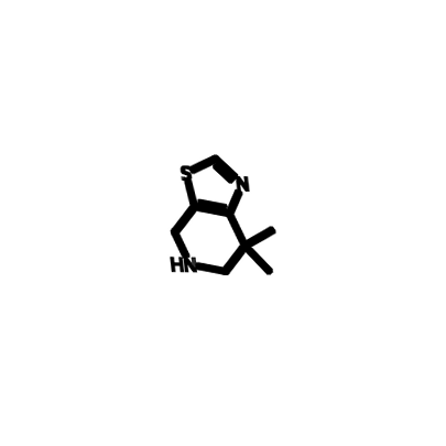 CC1(C)CNCc2scnc21